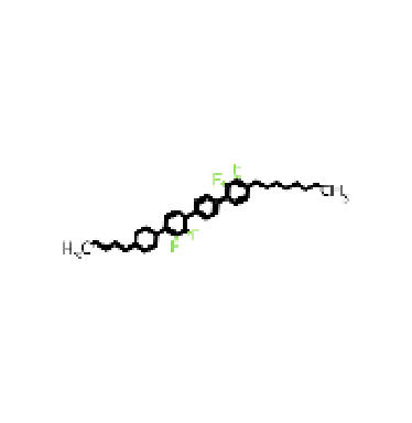 CCCCCCCCc1ccc(-c2ccc(-c3ccc(C4CCC(CCCCC)CC4)c(F)c3F)cc2)c(F)c1F